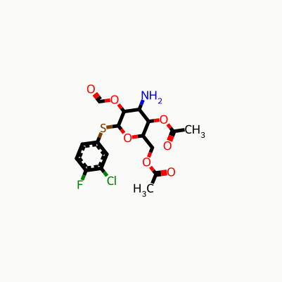 CC(=O)OCC1OC(Sc2ccc(F)c(Cl)c2)C(OC=O)C(N)C1OC(C)=O